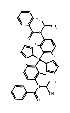 CC(C)N(C(=O)c1ccccc1)c1ccc(F)[c]([Ti]([c]2c(F)ccc(N(C(=O)c3ccccc3)C(C)C)c2F)([CH]2C=CC=C2)[CH]2C=CC=C2)c1F